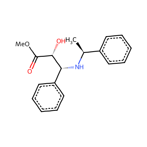 COC(=O)[C@H](O)[C@H](N[C@@H](C)c1ccccc1)c1ccccc1